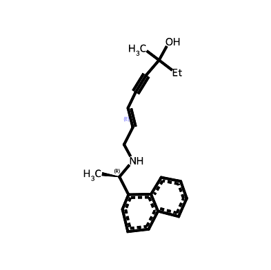 CCC(C)(O)C#C/C=C/CN[C@H](C)c1cccc2ccccc12